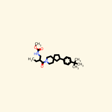 CCC(CNC(=O)OC)C(=O)N1CCC2(CCC(c3ccc(C(C)(C)C)cc3)C2)CC1